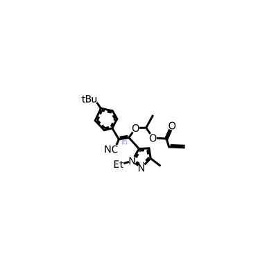 C=CC(=O)OC(C)O/C(=C(/C#N)c1ccc(C(C)(C)C)cc1)c1cc(C)nn1CC